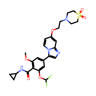 COc1cc(-c2cnc3cc(OCCN4CCS(=O)(=O)CC4)ccn23)cc(OC(F)F)c1C(=O)NC1CC1